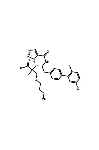 CC(COCCCO)(C[C@@H](Cc1ccc(-c2cc(Cl)ccc2F)cc1)NC(=O)c1cnn[nH]1)C(=O)O